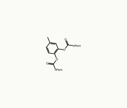 CCCCCC(=O)Oc1ccc(C)cc1OC(=O)CCCCC